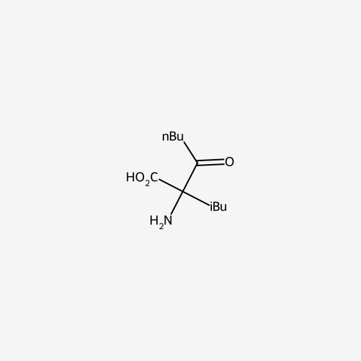 CCCCC(=O)C(N)(C(=O)O)C(C)CC